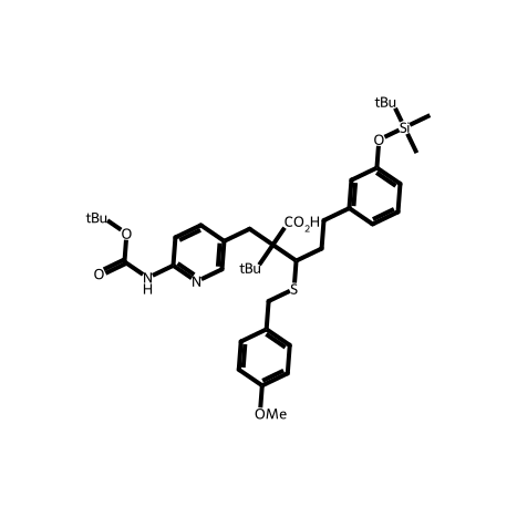 COc1ccc(CSC(CCc2cccc(O[Si](C)(C)C(C)(C)C)c2)C(Cc2ccc(NC(=O)OC(C)(C)C)nc2)(C(=O)O)C(C)(C)C)cc1